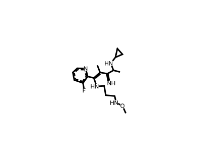 CONCCCN/C(=C(/C)C(=N)C(C)NC1CC1)c1ncccc1F